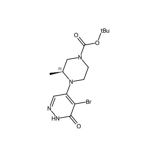 C[C@H]1CN(C(=O)OC(C)(C)C)CCN1c1cn[nH]c(=O)c1Br